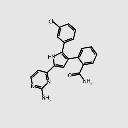 NC(=O)c1ccccc1-c1cc(-c2ccnc(N)n2)[nH]c1-c1cccc(Cl)c1